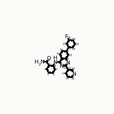 NC(=O)c1ccccc1Nc1nc(-c2cccnc2)nc2cc(-c3cccc(F)c3)ccc12